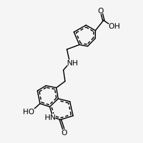 O=C(O)c1ccc(CNCCc2ccc(O)c3[nH]c(=O)ccc23)cc1